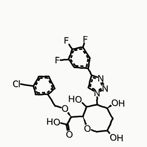 O=C(O)[C@@H](OCc1cccc(Cl)c1)[C@@H]1OCC(O)C[C@H](O)C(n2cc(-c3cc(F)c(F)c(F)c3)nn2)C1O